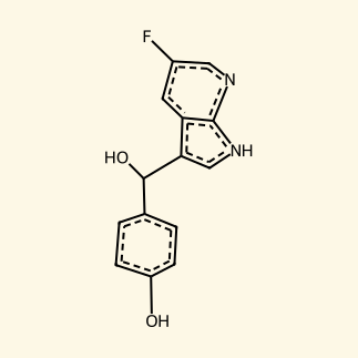 Oc1ccc(C(O)c2c[nH]c3ncc(F)cc23)cc1